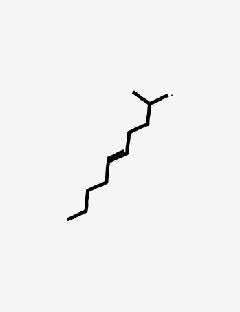 [CH2]C(C)CCC=CCCCC